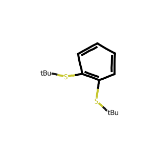 CC(C)(C)Sc1[c]cccc1SC(C)(C)C